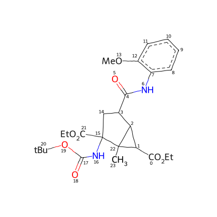 CCOC(=O)C1C2C(C(=O)Nc3ccccc3OC)CC(NC(=O)OC(C)(C)C)(C(=O)OCC)C12C